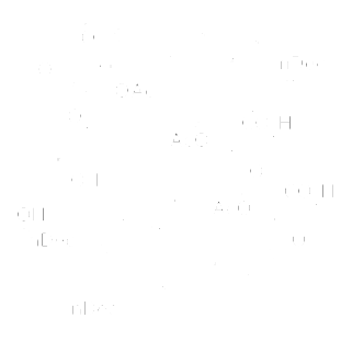 CCCCCCCCCCCCCCCC1OC1(OC(C)=O)C(=O)O.CCCCCCCCCCCCCCCC1OC1(OC(C)=O)C(=O)O.CCCCCCCCCCCCCCCC1OC1(OC(C)=O)C(=O)OCC(O)CO